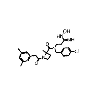 Cc1cc(C)cc(CC(=O)N2CCC2(C)C(=O)N(CCC(=N)NO)Cc2ccc(Cl)cc2)c1